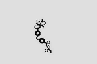 CCC(=O)OCC(=O)c1ccc(Oc2ccc(C(=O)CC(CC)(CC)NC(C)=O)cc2)cc1